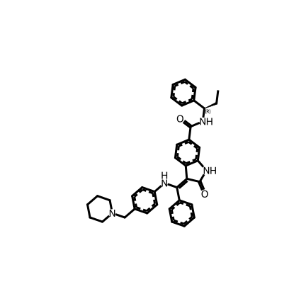 CC[C@@H](NC(=O)c1ccc2c(c1)NC(=O)C2=C(Nc1ccc(CN2CCCCC2)cc1)c1ccccc1)c1ccccc1